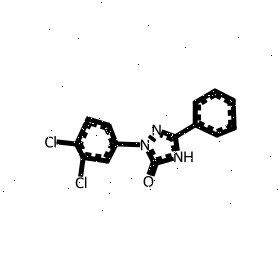 O=c1[nH]c(-c2ccccc2)nn1-c1ccc(Cl)c(Cl)c1